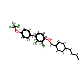 CCCCC1CCC(COc2ccc(-c3ccc(OC(F)(F)F)cc3)c(F)c2F)CC1